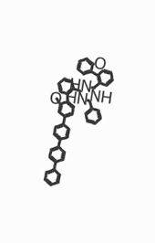 c1ccc(-c2ccc(-c3ccc(-c4ccc5c(c4)oc4cccc(C6NC(c7ccccc7)NC(c7cccc8oc9ccccc9c78)N6)c45)cc3)cc2)cc1